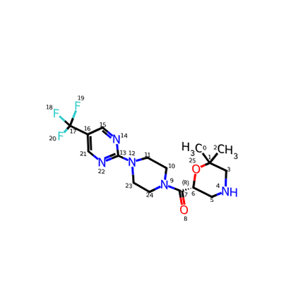 CC1(C)CNC[C@H](C(=O)N2CCN(c3ncc(C(F)(F)F)cn3)CC2)O1